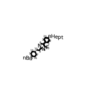 CCCCCCCc1ccc(-c2cnc(CC[C@H]3CC[C@H](CCCC)CC3)nc2F)cc1